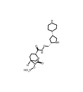 O=C(NOC[C@@H]1C[C@H](N2CCNCC2)CN1)[C@@H]1CC[C@@H]2CN1C(=O)N2OS(=O)(=O)O